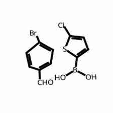 O=Cc1ccc(Br)cc1.OB(O)c1ccc(Cl)s1